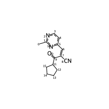 Cc1nccc(C=C(C#N)C(=O)C2CCCC2)n1